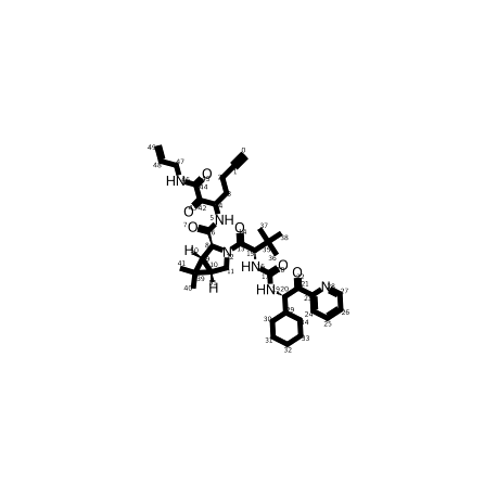 C#CCCC(NC(=O)[C@@H]1[C@@H]2[C@H](CN1C(=O)[C@@H](NC(=O)N[C@H](C(=O)c1ccccn1)C1CCCCC1)C(C)(C)C)C2(C)C)C(=O)C(=O)NCC=C